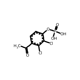 CC(=O)c1ccc(OP(=O)(O)O)c(Cl)c1Cl